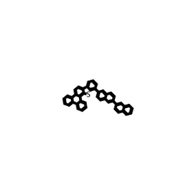 c1ccc2cc(-c3ccc4cc(-c5cccc6c5sc5c6ccc6c7ccccc7c7ccccc7c65)ccc4c3)ccc2c1